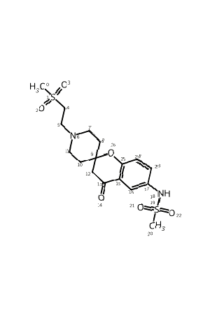 CS(=O)(=O)CCN1CCC2(CC1)CC(=O)c1cc(NS(C)(=O)=O)ccc1O2